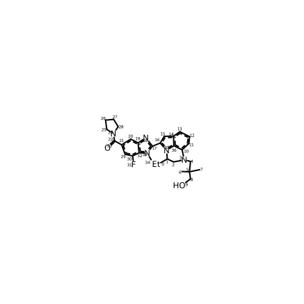 CCC1CN(CC(C)(C)CO)c2cccc3cc(-c4nc5cc(C(=O)N6CCCC6)cc(F)c5n4C)n1c23